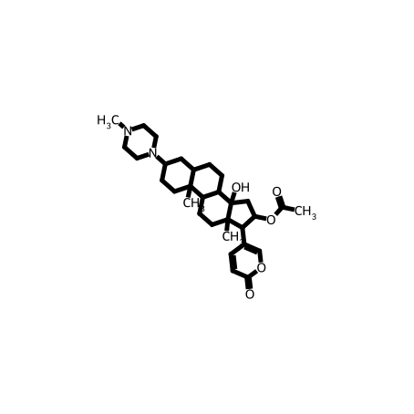 CC(=O)OC1CC2(O)C3CCC4CC(N5CCN(C)CC5)CCC4(C)C3CCC2(C)C1c1ccc(=O)oc1